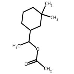 [CH2]C(=O)OC(C)C1CCCC(C)(C)C1